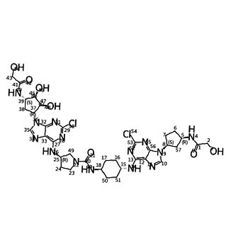 O=C(CO)N[C@@H]1CC[C@H](n2cnc3c(N[C@H]4CC[C@H](NC(=O)N5CC[C@@H](Nc6nc(Cl)nc7c6ncn7[C@@H]6C[C@H](NC(=O)CO)[C@@H](O)[C@H]6O)C5)CC4)nc(Cl)nc32)C1